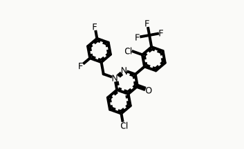 O=c1c(-c2cccc(C(F)(F)F)c2Cl)nn(Cc2ccc(F)cc2F)c2ccc(Cl)cc12